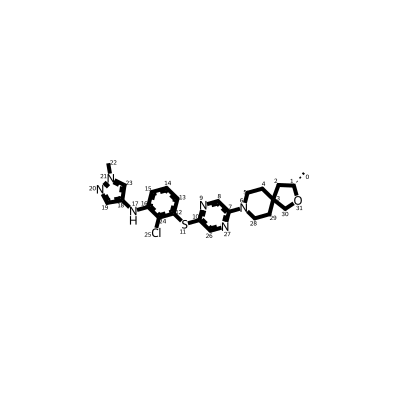 C[C@H]1CC2(CCN(c3cnc(Sc4cccc(Nc5cnn(C)c5)c4Cl)cn3)CC2)CO1